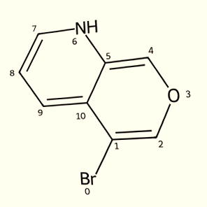 BrC1=COC=C2NC=CC=C12